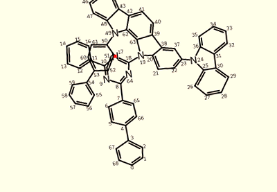 c1ccc(-c2ccc(-c3nc(-c4ccccc4)nc(-n4c5ccc(-n6c7ccccc7c7ccccc76)cc5c5ccc6c7ccccc7n(-c7ccc(-c8ccccc8)cc7)c6c54)n3)cc2)cc1